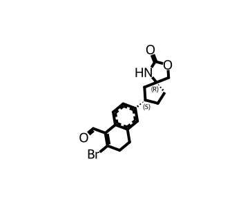 O=CC1=C(Br)CCc2cc([C@H]3CC[C@]4(COC(=O)N4)C3)ccc21